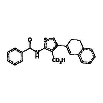 O=C(Nc1scc(C2=Cc3ccccc3CC2)c1C(=O)O)c1ccccc1